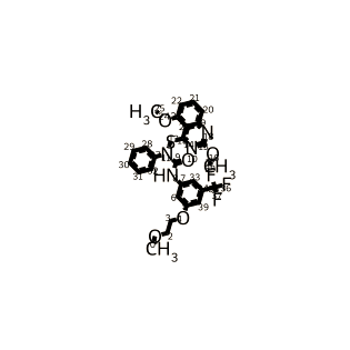 COCCOc1cc(NC(=O)N(Sc2nc(OC)nc3cccc(OC)c23)c2ccccc2)cc(C(F)(F)F)c1